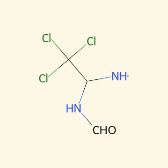 [NH]C(NC=O)C(Cl)(Cl)Cl